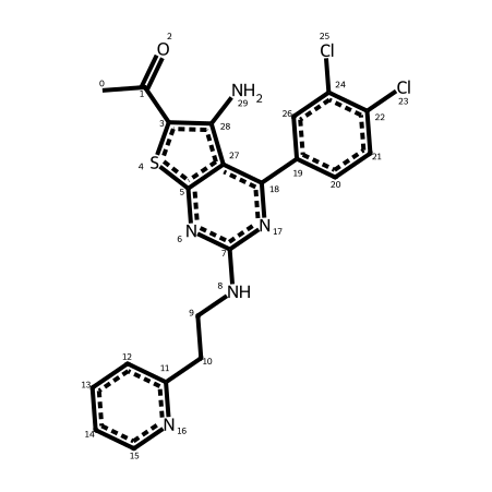 CC(=O)c1sc2nc(NCCc3ccccn3)nc(-c3ccc(Cl)c(Cl)c3)c2c1N